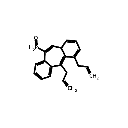 C=CCC1=CC=CC2C=C([PH2]=O)c3ccccc3C(CC=C)=C12